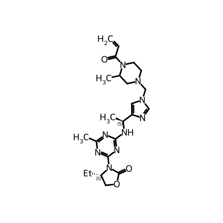 C=CC(=O)N1CCN(Cn2cnc([C@H](C)Nc3nc(C)nc(N4C(=O)OC[C@@H]4CC)n3)c2)CC1C